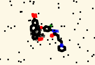 C[C@]12C[C@H](Oc3ccc(NC(=O)CCCN4CCCCC4)c(F)c3)[C@@H]3c4ccc(O)cc4CC[C@H]3[C@@H]1CC[C@@H]2O